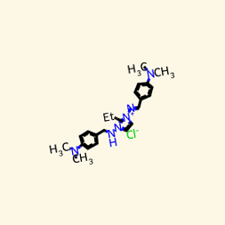 CCc1n(NCc2ccc(N(C)C)cc2)cc[n+]1N=Cc1ccc(N(C)C)cc1.[Cl-]